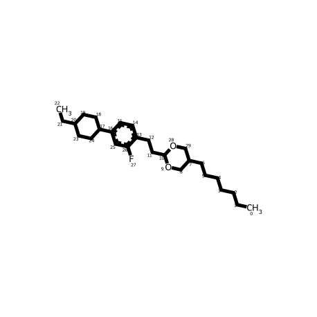 CCCCCCCC1COC(CCc2ccc(C3CCC(CC)CC3)cc2F)OC1